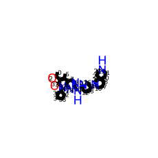 CC(=O)c1c(C)c2cnc(Nc3ccc(N4CCCC5(CCNCC5)C4)cn3)nc2n(C2CCCC2)c1=O